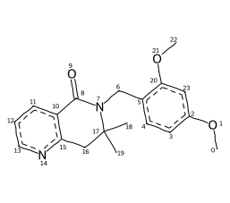 COc1ccc(CN2C(=O)c3cccnc3CC2(C)C)c(OC)c1